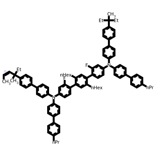 C/C=C\C(C)(CC)c1ccc(-c2ccc(N(c3ccc(-c4ccc(CCC)cc4)cc3)c3ccc(-c4cc(CCCCCC)c(-c5ccc(N(c6ccc(-c7ccc(CCC)cc7)cc6)c6ccc(-c7ccc(C(C)(CC)CC)cc7)cc6)cc5F)cc4CCCCCC)c(F)c3)cc2)cc1